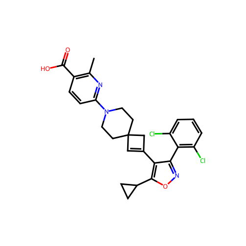 Cc1nc(N2CCC3(C=C(c4c(-c5c(Cl)cccc5Cl)noc4C4CC4)C3)CC2)ccc1C(=O)O